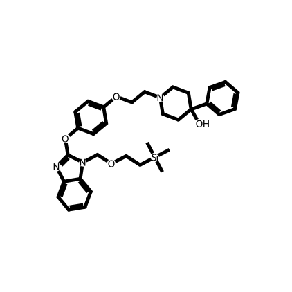 C[Si](C)(C)CCOCn1c(Oc2ccc(OCCN3CCC(O)(c4ccccc4)CC3)cc2)nc2ccccc21